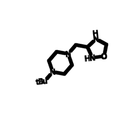 CC(C)(C)N1CCN(CC2NCON2)CC1